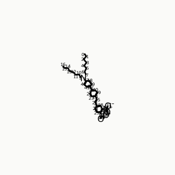 CCCCCCCCN(CCCCCCCC)c1ccc(-c2ccc(/C=C/c3ccc([N+](=O)[O-])c([N+](=O)[O-])c3)cc2)cc1